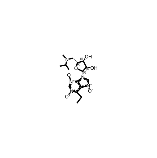 CCc1c2c(n([C@@H]3O[C@H](CN(C)C(C)C)[C@@H](O)[C@H]3O)c[n+]2[O-])[n+]([O-])c[n+]1[O-]